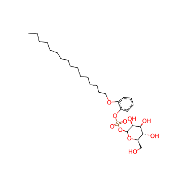 CCCCCCCCCCCCCCCCOc1ccccc1OS(=O)(=O)O[C@@H]1O[C@H](CO)[C@@H](O)[C@H](O)[C@@H]1O